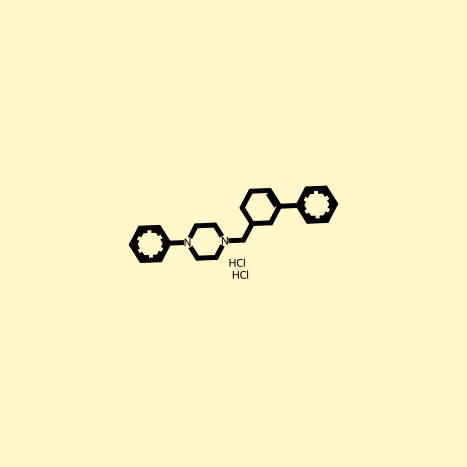 C1=C(c2ccccc2)CC(CN2CCN(c3ccccc3)CC2)CC1.Cl.Cl